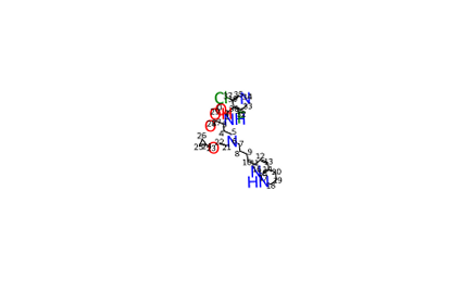 O=C(NC(CCN(CCCCc1ccc2c(n1)NCCC2)CCOC1CC1)C(=O)O)c1c(F)cncc1Cl